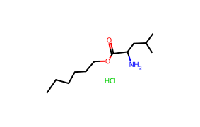 CCCCCCOC(=O)C(N)CC(C)C.Cl